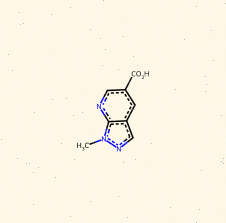 Cn1ncc2cc(C(=O)O)cnc21